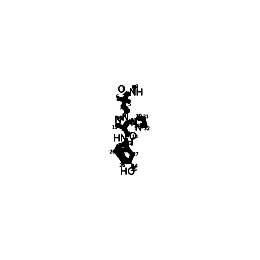 CNC(=O)C(C)(C)/C=C/n1ncc(C(=O)N[C@H]2C3CC4CC2C[C@](CO)(C4)C3)c1-n1cccn1